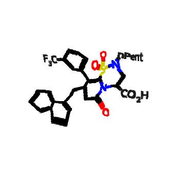 CCCCCN1CC(C(=O)O)n2c(c(-c3cccc(C(F)(F)F)c3)c(Cc3cccc4ccccc34)cc2=O)S1(=O)=O